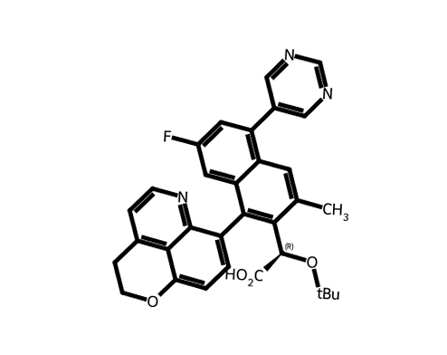 Cc1cc2c(-c3cncnc3)cc(F)cc2c(-c2ccc3c4c(ccnc24)CCO3)c1[C@@H](OC(C)(C)C)C(=O)O